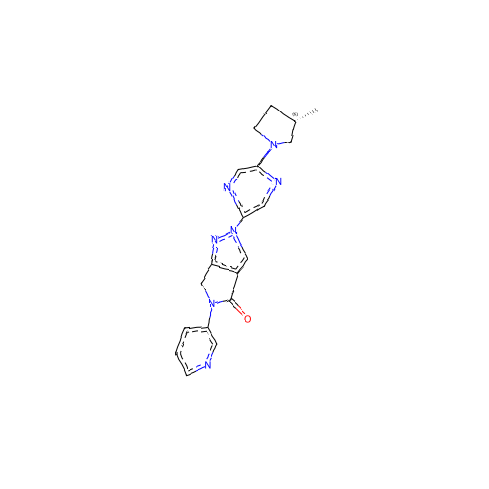 C[C@H]1CCN(c2cnc(-n3cc4c(n3)CN(c3cccnc3)C4=O)cn2)C1